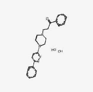 Cl.Cl.O=C(CCN1CCN(c2ccc(-c3ccccc3)nn2)CC1)c1ccccc1